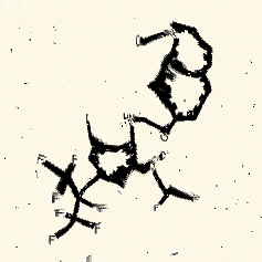 O=C(Nc1c(I)cc(C(F)(C(F)(F)F)C(F)(F)F)cc1[S+]([O-])C(F)F)c1ccc2ccc[n+]([O-])c2c1